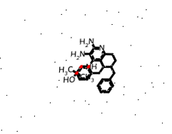 CC(C)(O)CNc1c(N)c(N)nc2c1C(Cc1ccccc1)C(Cc1ccccc1)CC2